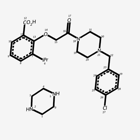 C1CNCCN1.CC(C)c1cccc(C(=O)O)c1OCC(=O)N1CCN(Cc2ccc(Cl)cc2)CC1